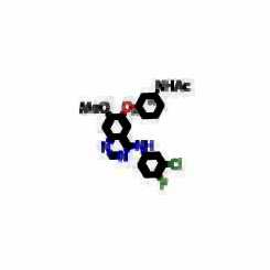 COc1cc2ncnc(Nc3ccc(F)c(Cl)c3)c2cc1O[C@@H]1CCC[C@@H](NC(C)=O)C1